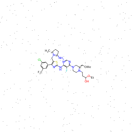 CCOC(O)CCN1CCN(c2ncnc(Nc3nc(-c4cc(Cl)cc(C(F)(F)F)c4)c(CN4[C@H](C)CC[C@H]4N)s3)c2F)C[C@H]1COC